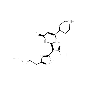 COCCc1noc(-c2c(C)nn3c(C4CCNCC4)cc(=O)[nH]c23)n1